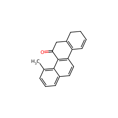 Cc1cccc2ccc3c(c12)C(=O)CC1=C3C=CCC1